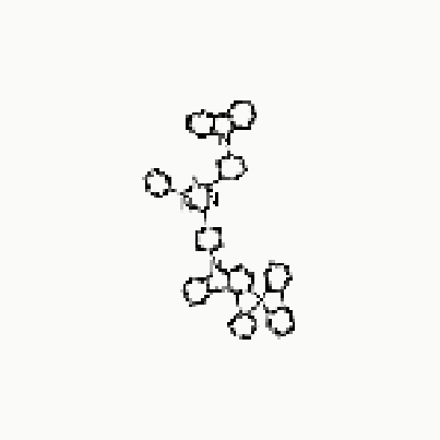 c1ccc(-c2nc(-c3ccc(-n4c5ccccc5c5c6c(ccc54)C4(c5ccccc5-c5ccccc54)c4ccccc4-6)cc3)nc(-c3cccc(-n4c5ccccc5c5ccccc54)c3)n2)cc1